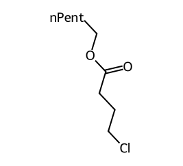 CCCCCCOC(=O)CCCCl